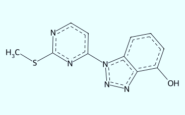 CSc1nccc(-n2nnc3c(O)cccc32)n1